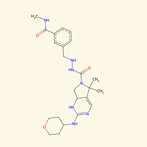 CNC(=O)c1cccc(CNNC(=O)N2CC3NC(NC4CCOCC4)=NC=C3C2(C)C)c1